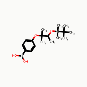 CC(O[Si](C)(C)C(C)(C)C)C(C)(C)Oc1ccc(B(O)O)cc1